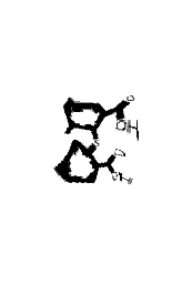 Cc1cccc(C(=O)O)c1Sc1ccccc1C(=O)O